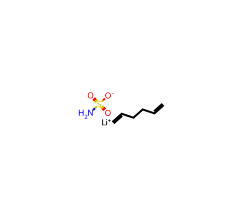 C=CCCC=C.NS(=O)(=O)[O-].[Li+]